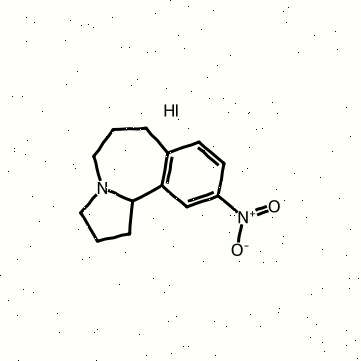 I.O=[N+]([O-])c1ccc2c(c1)C1CCCN1CCC2